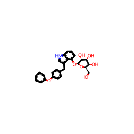 OC[C@H]1O[C@@H](Oc2cccc3[nH]cc(Cc4ccc(Oc5ccccc5)cc4)c23)[C@H](O)[C@@H](O)[C@@H]1O